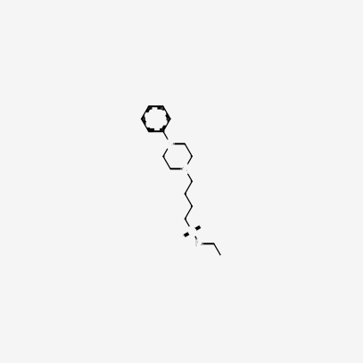 CCNS(=O)(=O)CCCCN1CCN(c2ccccc2)CC1